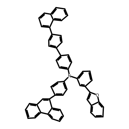 c1cc(-c2cc3ccccc3o2)cc(N(c2ccc(-c3ccc(-c4cccc5ccccc45)cc3)cc2)c2ccc(-c3cc4ccccc4c4ccccc34)cc2)c1